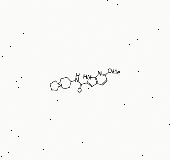 COc1ccc2cc(C(=O)NC3CC[Si]4(CCCC4)CC3)[nH]c2n1